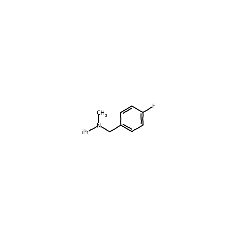 CC(C)N(C)Cc1ccc(F)cc1